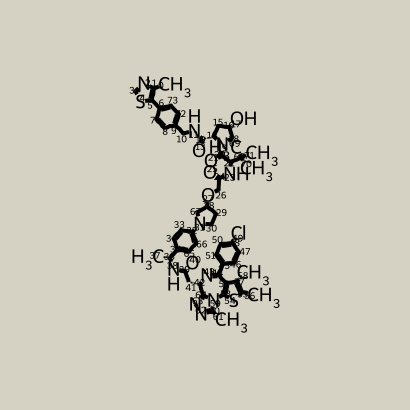 Cc1ncsc1-c1ccc(CNC(=O)[C@@H]2C[C@@H](O)CN2C(=O)C(NC(=O)COC2CCN(c3ccc([C@@H](C)NC(=O)C[C@@H]4N=C(c5ccc(Cl)cc5)c5c(sc(C)c5C)-n5c(C)nnc54)cc3)C2)C(C)(C)C)cc1